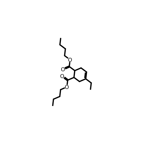 CCCCOC(=O)C1CC=C(CC)CC1C(=O)OCCCC